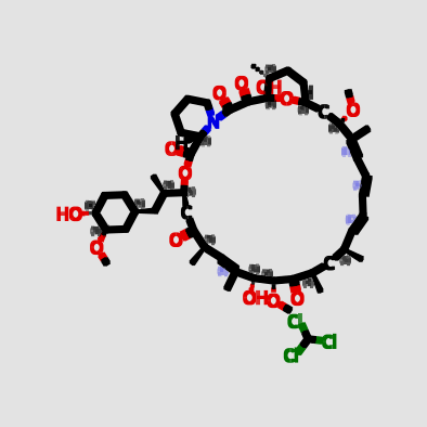 CO[C@H]1C[C@@H]2CC[C@@H](C)[C@@](O)(O2)C(=O)C(=O)N2CCCC[C@H]2C(=O)O[C@H]([C@H](C)C[C@@H]2CC[C@@H](O)[C@H](OC)C2)CC(=O)[C@H](C)/C=C(\C)[C@@H](O)[C@@H](OC)C(=O)[C@H](C)C[C@H](C)/C=C/C=C/C=C/1C.ClC(Cl)Cl